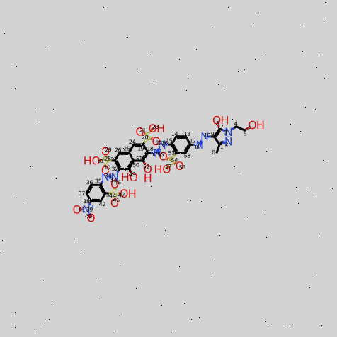 Cc1nn(CCO)c(O)c1/N=N/c1ccc(/N=N/c2c(S(=O)(=O)O)cc3cc(S(=O)(=O)O)c(/N=N/c4ccc([N+](=O)[O-])cc4S(=O)(=O)O)c(O)c3c2O)c(S(=O)(=O)O)c1